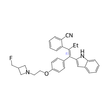 CC/C(=C(/c1ccc(OCCN2CC(CF)C2)cc1)c1cc2ccccc2[nH]1)c1ccccc1C#N